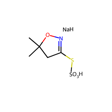 CC1(C)CC(SS(=O)(=O)O)=NO1.[NaH]